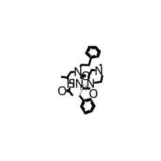 CC(=O)SC(C)CN(CCc1ccccc1)C(=O)N[C@@H](Cc1ccccc1)C(=O)N1CCN(C)CC1